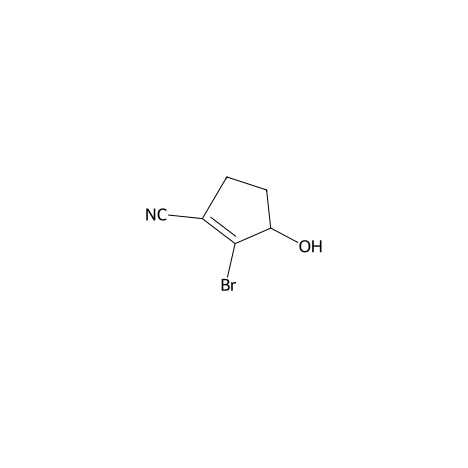 N#CC1=C(Br)C(O)CC1